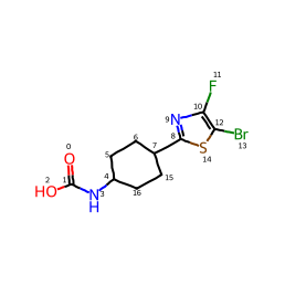 O=C(O)NC1CCC(c2nc(F)c(Br)s2)CC1